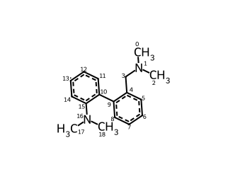 CN(C)Cc1ccccc1-c1cc[c]cc1N(C)C